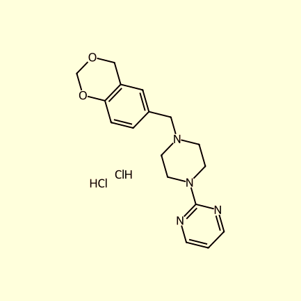 Cl.Cl.c1cnc(N2CCN(Cc3ccc4c(c3)COCO4)CC2)nc1